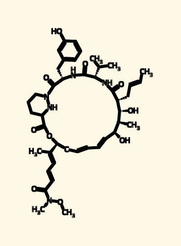 C/C=C/C[C@H]1C(=O)N[C@@H](C(C)C)C(=O)N[C@@H](Cc2cccc(O)c2)C(=O)N2CCCC(N2)C(=O)O[C@H](/C(C)=C/C=C/C(=O)N(C)OC)C/C=C/C=C/[C@H](O)[C@H](C)[C@H]1O